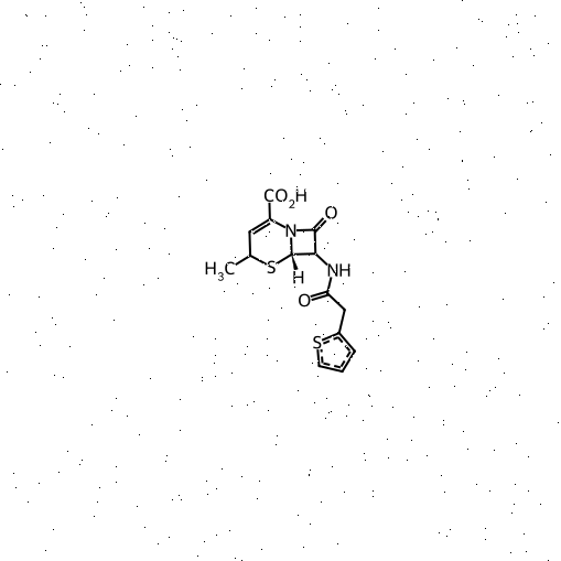 CC1C=C(C(=O)O)N2C(=O)C(NC(=O)Cc3cccs3)[C@@H]2S1